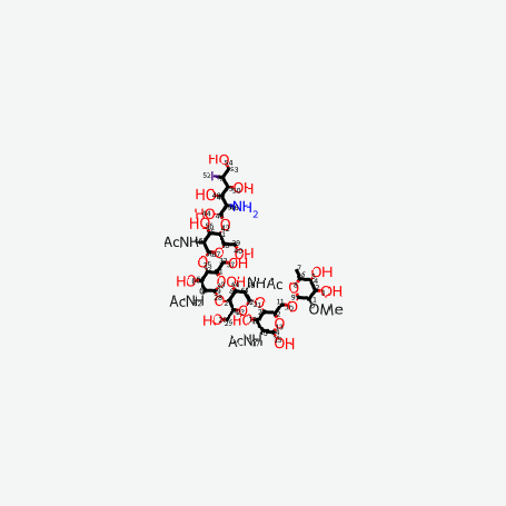 CO[C@@H]1C(O)[C@H](O)C(C)O[C@H]1OCC1O[C@@H](O)[C@@H](NC(C)=O)C(O)[C@@H]1O[C@@H]1OC(CO)[C@@H](O[C@@H]2OC(CO)[C@@H](O[C@@H]3OC(CO)[C@@H](O[C@H](O)C(N)[C@@H](O)[C@H](O)C(I)CO)C(O)[C@@H]3NC(C)=O)C(O)[C@@H]2NC(C)=O)C(O)[C@@H]1NC(C)=O